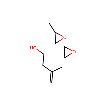 C1CO1.C=C(C)CCO.CC1CO1